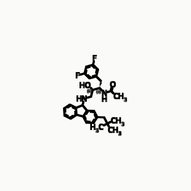 CC(=O)N[C@@H](Cc1cc(F)cc(F)c1)[C@H](O)CNC1c2ccccc2-c2ccc(CC(C)(C)C)cc21